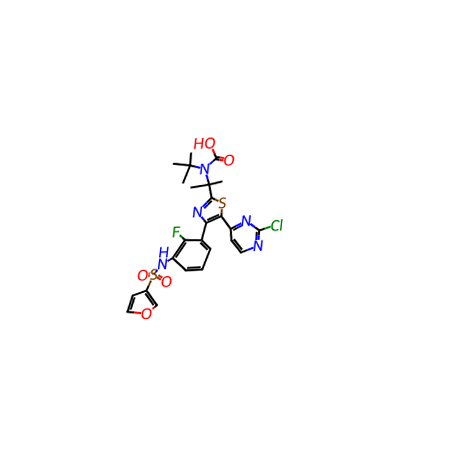 CC(C)(C)N(C(=O)O)C(C)(C)c1nc(-c2cccc(NS(=O)(=O)c3ccoc3)c2F)c(-c2ccnc(Cl)n2)s1